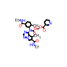 CCNC(=O)c1ccc(C)c(N(C(=O)OCOC(=O)c2cccnc2)c2ncnn3cc(C(=O)NCC)c(C)c23)c1